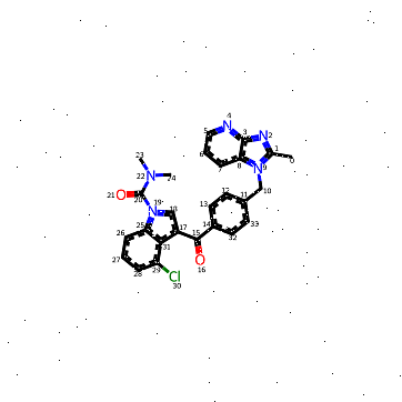 Cc1nc2ncccc2n1Cc1ccc(C(=O)c2cn(C(=O)N(C)C)c3cccc(Cl)c23)cc1